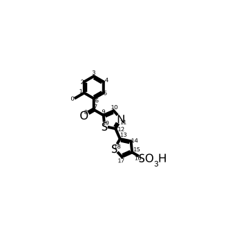 Cc1ccccc1C(=O)c1cnc(-c2cc(S(=O)(=O)O)cs2)s1